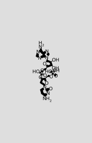 Nc1ccn([C@H]2C[C@@H](OP(=O)(O)OC[C@H]3O[C@@H](n4cnc5c(N)ncnc54)[C@H](O)[C@@H]3O)[C@@H](COP(=O)(O)O)O2)c(=O)n1